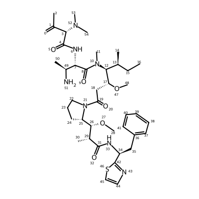 C=C(C)[C@@H](C(=O)N[C@H](C(=O)N(C)[C@@H]([C@@H](C)CC)[C@@H](CC(=O)N1CCC[C@H]1[C@H](OC)[C@@H](C)C(=O)N[C@@H](Cc1ccccc1)c1nccs1)OC)[C@H](C)N)N(C)C